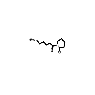 CCCCCCCCCCCC(=O)N1CCCCC1O